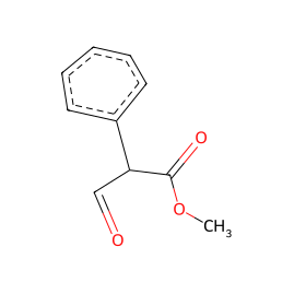 COC(=O)C(C=O)c1ccccc1